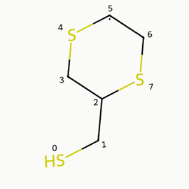 SCC1CS[CH]CS1